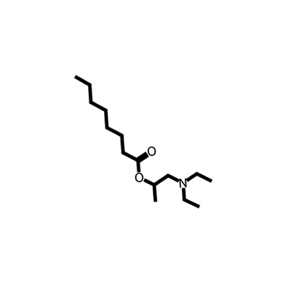 CCCCCCCC(=O)OC(C)CN(CC)CC